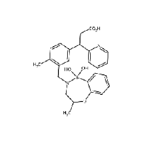 Cc1ccc(C(CC(=O)O)c2ccccn2)cc1CN1CC(C)Oc2ccccc2S1(O)O